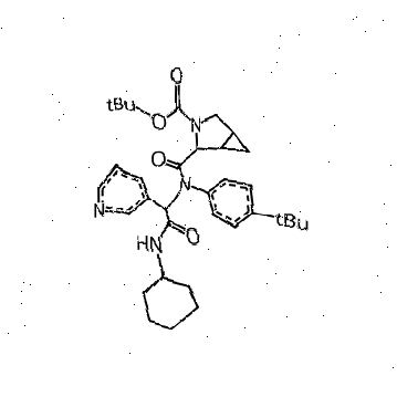 CC(C)(C)OC(=O)N1CC2CC2C1C(=O)N(c1ccc(C(C)(C)C)cc1)C(C(=O)NC1CCCCC1)c1cccnc1